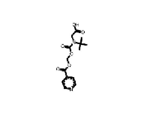 CC(C)(C)N(CC(=O)O)C(=O)OCOC(=O)c1ccncc1